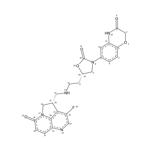 O=C1COc2ccc(N3C[C@H](CCNC[C@H]4Cn5c(=O)ccc6ncc(F)c4c65)OC3=O)cc2N1